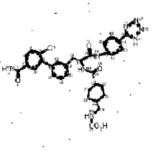 NC(=O)c1ccc(Cl)c(-c2cccc(C[C@H](NC(=O)[C@H]3CC[C@H](CNC(=O)O)CC3)C(=O)Nc3ccc(-c4nnn[nH]4)cc3)c2)c1